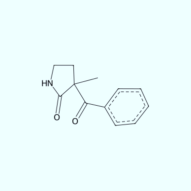 CC1(C(=O)c2ccccc2)CCNC1=O